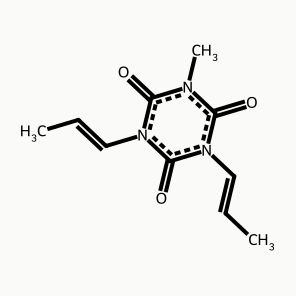 CC=Cn1c(=O)n(C)c(=O)n(C=CC)c1=O